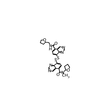 CN(C(=O)c1ccc(SSc2ccc(C(=O)NCC3CCCO3)c3cncnc23)c2ncncc12)C1CCCO1